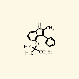 CCOC(=O)C(C)(C)Oc1cccc2[nH]c(C)c(-c3ccccc3)c12